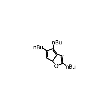 CCCCC1=[C]C2=C(CCCC)C(CCCC)=CC2O1